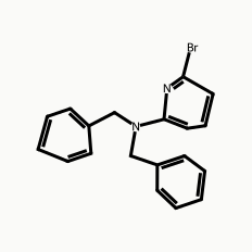 Brc1cccc(N(Cc2ccccc2)Cc2ccccc2)n1